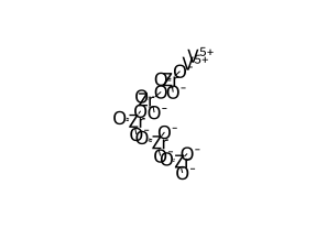 [O]=[Zr]([O-])[O-].[O]=[Zr]([O-])[O-].[O]=[Zr]([O-])[O-].[O]=[Zr]([O-])[O-].[O]=[Zr]([O-])[O-].[V+5].[V+5]